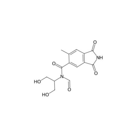 Cc1cc2c(cc1C(=O)N(C=O)C(CO)CO)C(=O)NC2=O